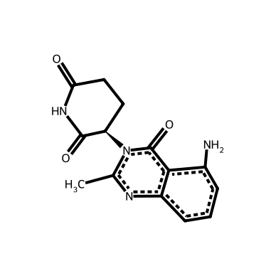 Cc1nc2cccc(N)c2c(=O)n1[C@@H]1CCC(=O)NC1=O